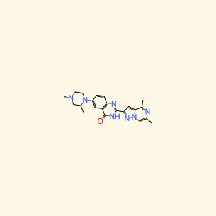 Cc1cn2nc(-c3nc4ccc(N5CCN(C)CC5C)cc4c(=O)[nH]3)cc2c(C)n1